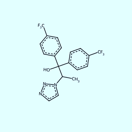 CC(n1ccnn1)C(O)(c1ccc(C(F)(F)F)cc1)c1ccc(C(F)(F)F)cc1